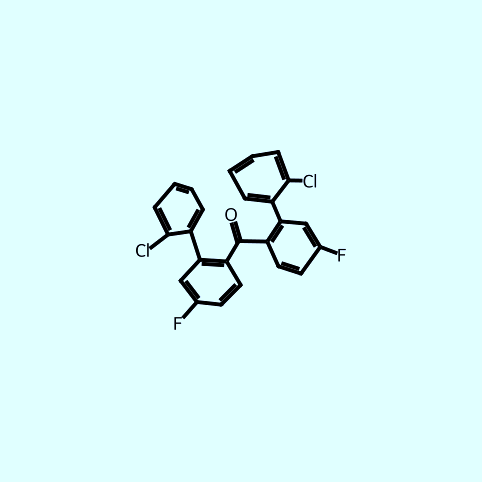 O=C(c1ccc(F)cc1-c1ccccc1Cl)c1ccc(F)cc1-c1ccccc1Cl